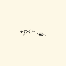 CC[Si@H]1CC[C@H](CCCC[C@H]2CC[C@H](c3ccc(C#N)c(F)c3)CC2)CC1